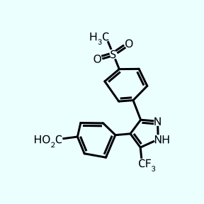 CS(=O)(=O)c1ccc(-c2n[nH]c(C(F)(F)F)c2-c2ccc(C(=O)O)cc2)cc1